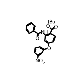 CC(C)(C)OC(=O)c1ccc(Oc2cccc([N+](=O)[O-])c2)cc1NC(=O)c1ccccc1